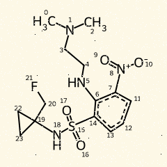 CN(C)CCNc1c([N+](=O)[O-])cccc1S(=O)(=O)NC1(CF)CC1